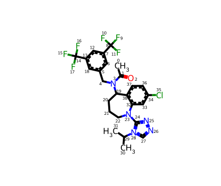 CC(=O)N(Cc1cc(C(F)(F)F)cc(C(F)(F)F)c1)C1CCCN(c2nncn2C(C)C)c2cc(Cl)ccc21